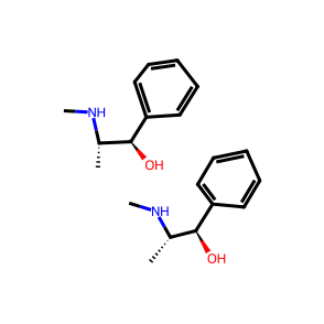 CN[C@@H](C)[C@H](O)c1ccccc1.CN[C@@H](C)[C@H](O)c1ccccc1